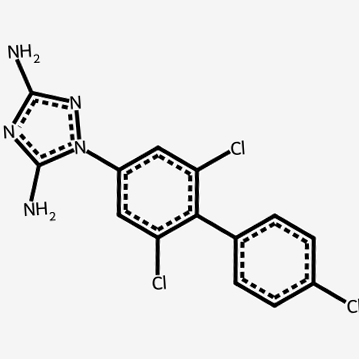 Nc1nc(N)n(-c2cc(Cl)c(-c3ccc(Cl)cc3)c(Cl)c2)n1